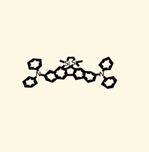 C[Si]1(C)CC[Si](C)(C)C12c1cc3cc(N(c4ccccc4)c4ccccc4)ccc3cc1-c1cc3ccc(N(c4ccccc4)c4ccccc4)cc3cc12